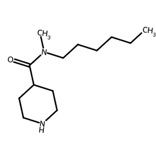 CCCCCCN(C)C(=O)C1CCNCC1